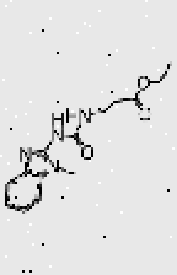 CCOC(=O)CCNC(=O)Nc1nc2ccccc2n1C